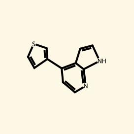 c1cc(-c2ccsc2)c2cc[nH]c2n1